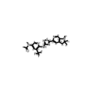 CC(=O)N(C)c1cnc(Nc2nsc(-c3cc4c(cn3)N(C)C(C)(C)C4)n2)c(C(F)(F)F)c1